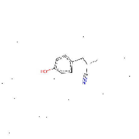 C[C@H](C#N)Cc1ccc(O)cc1